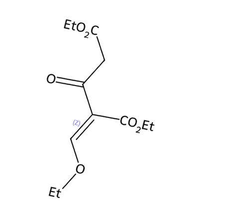 CCO/C=C(/C(=O)CC(=O)OCC)C(=O)OCC